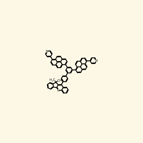 CC1(C)c2ccccc2-c2nc3ccccc3c(-c3ccc(-c4cc(C5=C6C=CC7=CC=C(c8ccncc8)C8=CC=C(C=C5)C6C78)cc(-c5ccc6ccc7c(-c8ccncc8)ccc8ccc5c6c87)c4)cc3)c21